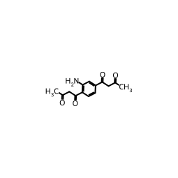 CC(=O)CC(=O)c1ccc(C(=O)CC(C)=O)c(N)c1